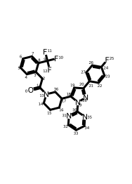 O=C(Cc1ccccc1C(F)(F)F)N1CCCC(c2cc(-c3ccc(F)cc3)nn2-c2ncccn2)C1